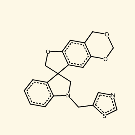 c1ccc2c(c1)N(Cc1cncs1)CC21COc2cc3c(cc21)OCOC3